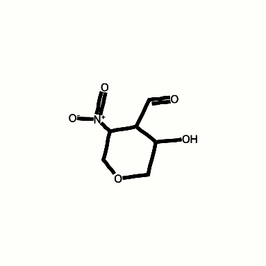 O=CC1C(O)COCC1[N+](=O)[O-]